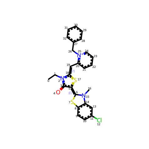 CCn1c(=O)/c(=C2\Sc3ccc(Cl)cc3N2C)s/c1=C\c1cccc[n+]1Cc1ccccc1